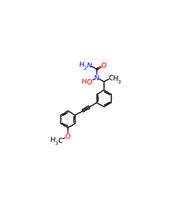 COc1cccc(C#Cc2cccc(C(C)N(O)C(N)=O)c2)c1